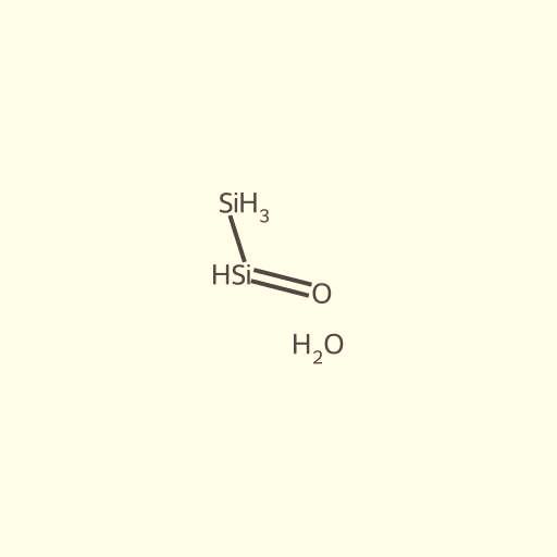 O.O=[SiH][SiH3]